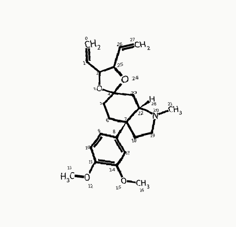 C=CC1OC2(CC[C@@]3(c4ccc(OC)c(OC)c4)CCN(C)[C@H]3C2)OC1C=C